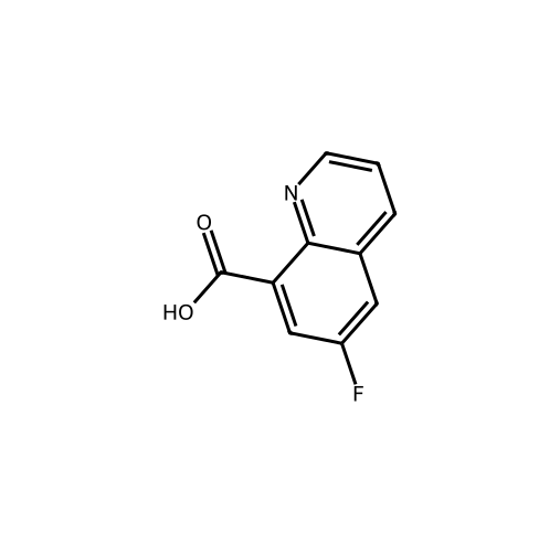 O=C(O)c1cc(F)cc2cccnc12